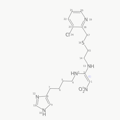 O=[N+]([O-])/C=C(\NCCCCc1c[nH]cn1)NCCSCc1ncccc1Cl